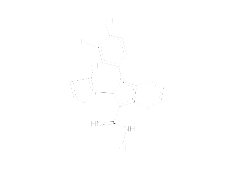 Cc1cccn1-c1c(C(=N)NO)c2ccccc2n1-c1ccc(O)c(F)c1